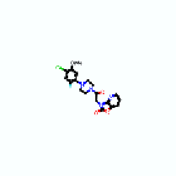 COc1cc(N2CCN(C(=O)Cn3c(=O)oc4cccnc43)CC2)c(F)cc1Cl